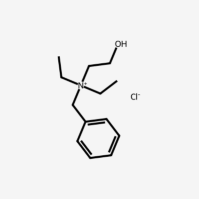 CC[N+](CC)(CCO)Cc1ccccc1.[Cl-]